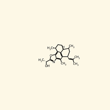 CC(C)=C[C@@H]1C[C@H](C)[C@H]2CC[C@H](C)c3c2c1c(C)c1nc([C@@H](C)O)oc31